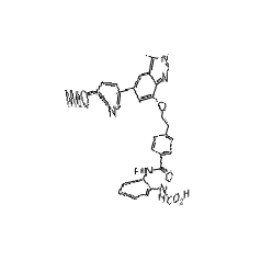 COc1ccc(-c2cc(OCCc3ccc(C(=O)Nc4ccccc4NC(=O)O)cc3)c3ncnc(C)c3c2)cn1